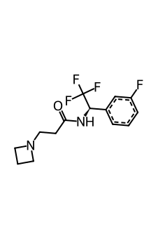 O=C(CCN1CCC1)N[C@H](c1cccc(F)c1)C(F)(F)F